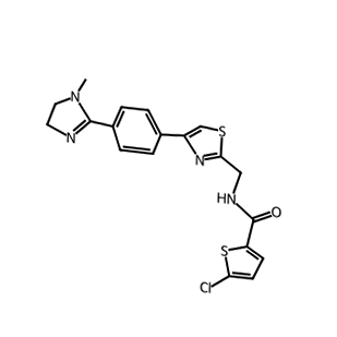 CN1CCN=C1c1ccc(-c2csc(CNC(=O)c3ccc(Cl)s3)n2)cc1